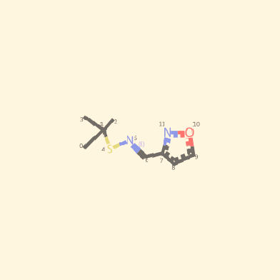 CC(C)(C)S/N=C/c1ccon1